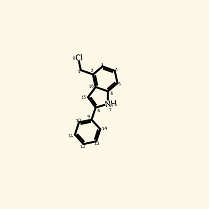 ClCc1cccc2[nH]c(-c3ccccc3)cc12